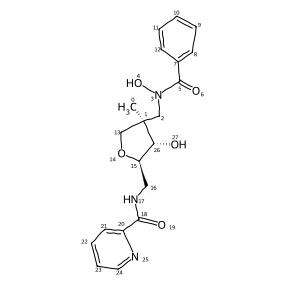 C[C@@]1(CN(O)C(=O)c2ccccc2)CO[C@H](CNC(=O)c2ccccn2)[C@H]1O